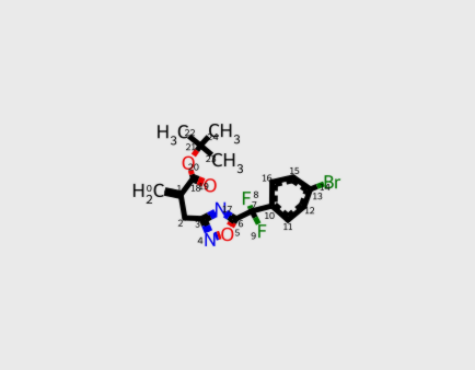 C=C(Cc1noc(C(F)(F)c2ccc(Br)cc2)n1)C(=O)OC(C)(C)C